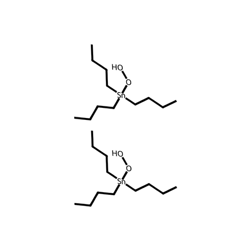 CCC[CH2][Sn]([CH2]CCC)([CH2]CCC)[O]O.CCC[CH2][Sn]([CH2]CCC)([CH2]CCC)[O]O